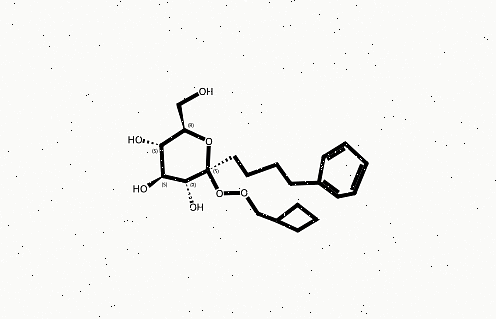 OC[C@H]1O[C@@](CCCCc2ccccc2)(OOCC2CCC2)[C@H](O)[C@@H](O)[C@@H]1O